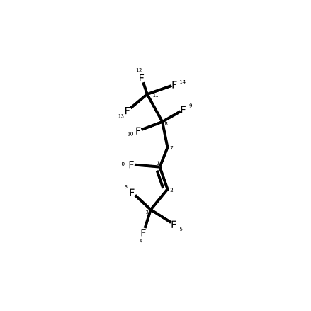 F/C(=C\C(F)(F)F)CC(F)(F)C(F)(F)F